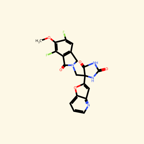 COc1c(F)cc2c(c1F)C(=O)N(CC1(c3cc4ncccc4o3)NC(=O)NC1=O)C2